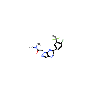 CN(C)C(=O)Cn1ncc2ncc(-c3ccc(Cl)c(C(C)(F)F)c3)nc21